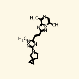 Cc1ncc(C)n2nc(/C=C/c3nc(N4CCC5(CC5)C4)nn3C)nc12